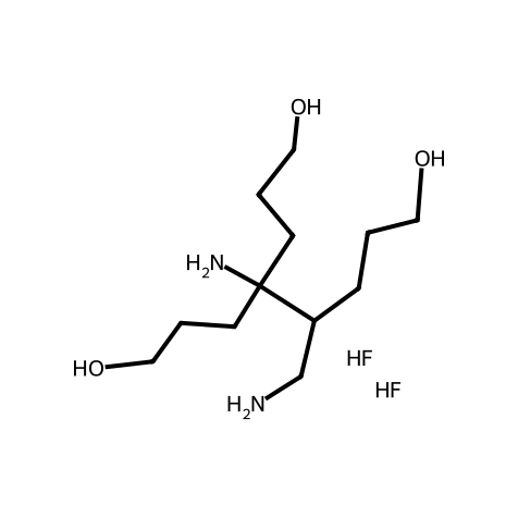 F.F.NCC(CCCO)C(N)(CCCO)CCCO